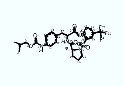 CC(C)COC(=O)Nc1ccc(CC(NC(=O)[C@]2(C)CCCN2S(=O)(=O)c2cccc(C(F)(F)F)c2)C(=O)O)cc1